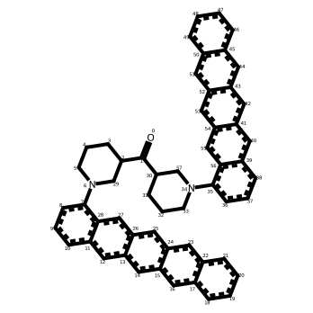 O=C(C1CCCN(c2cccc3cc4cc5cc6ccccc6cc5cc4cc23)C1)C1CCCN(c2cccc3cc4cc5cc6ccccc6cc5cc4cc23)C1